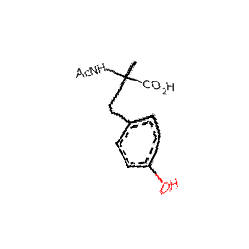 CC(=O)NC(C)(Cc1ccc(O)cc1)C(=O)O